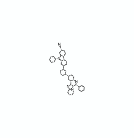 N#Cc1ccc2c3ccc(-c4cccc(-c5ccc6nc(-c7ccccc7)c7c(nc8ccccn87)c6c5)c4)cc3n(-c3ccccc3)c2c1